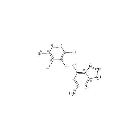 Nc1cc(SCc2c(F)ccc(Br)c2F)c2nn[nH]c2n1